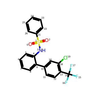 O=S(=O)(Nc1ccccc1-c1ccc(C(F)(F)F)c(Cl)c1)c1ccccc1